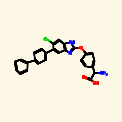 NC(C(=O)O)c1ccc(Oc2nc3cc(-c4ccc(-c5ccccc5)cc4)c(Cl)cc3[nH]2)cc1